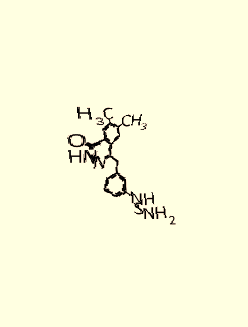 Cc1cc2c(Cc3cccc(NSN)c3)n[nH]c(=O)c2cc1C